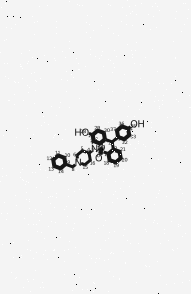 O=S(=O)(NC1CCN(Cc2ccccc2)CC1)c1ccccc1C(c1ccc(O)cc1)c1ccc(O)cc1